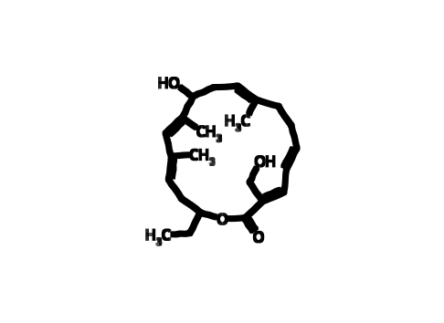 CCC1C/C=C(C)/C=C(\C)C(O)C/C=C(\C)CC/C=C/C=C(\CO)C(=O)O1